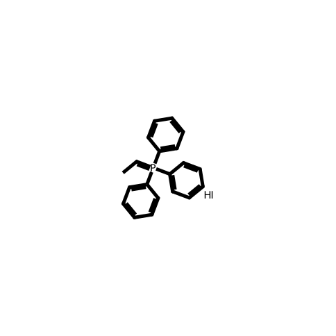 CC=P(c1ccccc1)(c1ccccc1)c1ccccc1.I